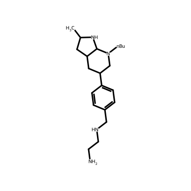 CCCCN1CC(c2ccc(CNCCN)cc2)CC2CC(C)NC21